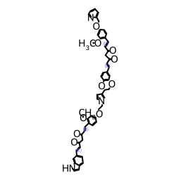 COc1cc(OCCn2ccc(C3COc4cc(/C=C/C(=O)CC(=O)/C=C/c5ccc(OCc6ccccn6)cc5OC)ccc4O3)c2)ccc1/C=C/C(=O)CC(=O)/C=C/c1ccc2cc[nH]c2c1